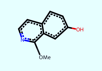 COc1nccc2ccc(O)cc12